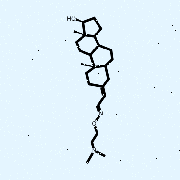 CN(C)CCON=C/C=C1\CC[C@@]2(C)C(CCC3C2CC[C@@]2(C)C3CC[C@@H]2O)C1